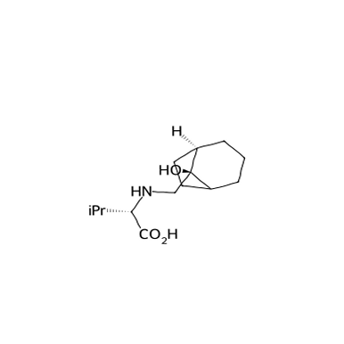 CC(C)[C@H](NC[C@@]1(O)C2CCC[C@@H]1CC2)C(=O)O